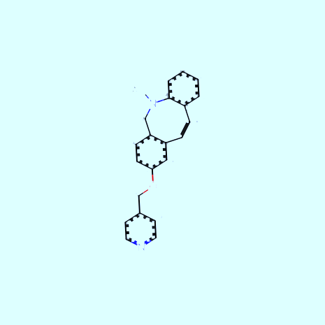 CC(=O)N1Cc2ccc(OCc3ccncc3)cc2C=Cc2ccccc21